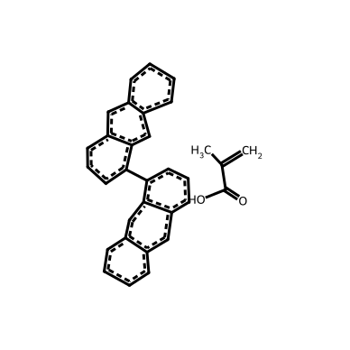 C=C(C)C(=O)O.c1ccc2cc3c(-c4cccc5cc6ccccc6cc45)cccc3cc2c1